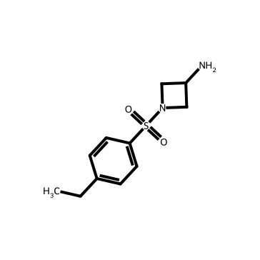 CCc1ccc(S(=O)(=O)N2CC(N)C2)cc1